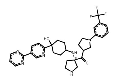 O=C(C1CCN(c2cccc(C(F)(F)F)c2)C1)[C@]1(NC2CCC(O)(c3ccc(-c4ncccn4)cn3)CC2)CCNC1